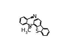 CN(c1ccccc1C#N)c1cccc2c1sc1ccccc12